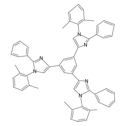 Cc1cccc(C)c1-n1cc(-c2cc(-c3cn(-c4c(C)cccc4C)c(-c4ccccc4)n3)cc(-c3cn(-c4c(C)cccc4C)c(-c4ccccc4)n3)c2)nc1-c1ccccc1